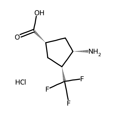 Cl.N[C@H]1C[C@@H](C(=O)O)C[C@H]1C(F)(F)F